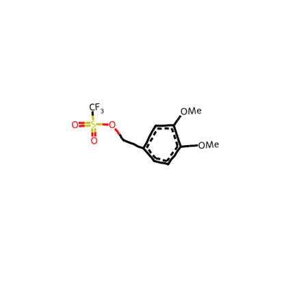 COc1ccc(COS(=O)(=O)C(F)(F)F)cc1OC